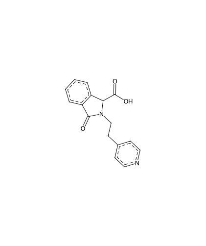 O=C(O)C1c2ccccc2C(=O)N1CCc1ccncc1